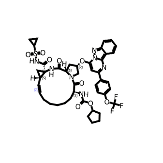 O=C(N[C@H]1CCCCC/C=C\[C@@H]2C[C@@]2(C(=O)NS(=O)(=O)C2CC2)NC(=O)[C@@H]2C[C@@H](Oc3cc(-c4ccc(OC(F)(F)F)cc4)nc4c5ccccc5nn34)CN2C1=O)OC1CCCC1